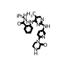 Cc1cnc(Nc2ccc(N3CCNCC3=O)nc2)nc1Nc1ccccc1C(=O)NC(C)C